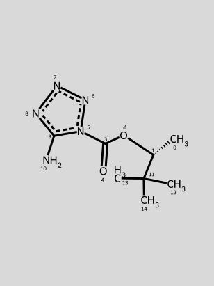 C[C@@H](OC(=O)n1nnnc1N)C(C)(C)C